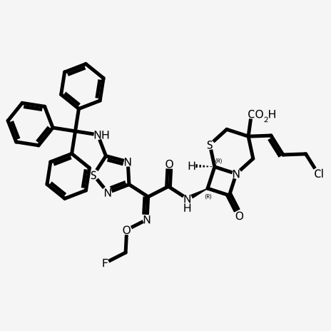 O=C(N[C@@H]1C(=O)N2CC(C=CCCl)(C(=O)O)CS[C@H]12)C(=NOCF)c1nsc(NC(c2ccccc2)(c2ccccc2)c2ccccc2)n1